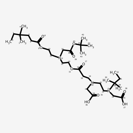 CCC(C)(C)CCC(=O)OCCN(CCOC(=O)CCN(CCN(CC(=O)O)C(C)(C)CC)CC(=O)O)CC(=O)OC(C)(C)C